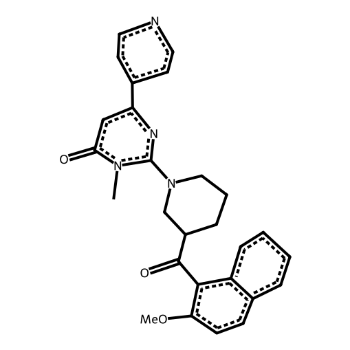 COc1ccc2ccccc2c1C(=O)C1CCCN(c2nc(-c3ccncc3)cc(=O)n2C)C1